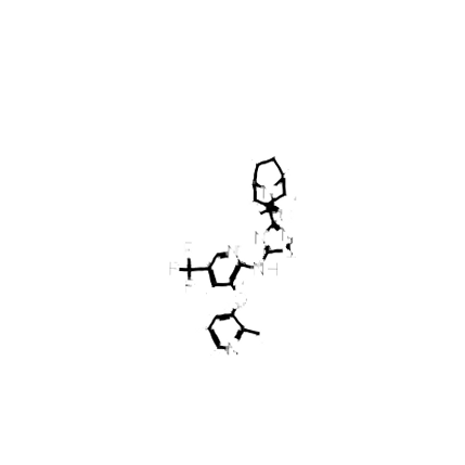 CC(=O)N1C2CCC1CC(c1nsc(Nc3ncc(C(F)(F)F)cc3Oc3cccnc3C)n1)C2